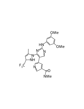 CNC(=O)c1cncc(-c2cnc(Nc3cc(OC)cc(OC)c3)nc2N2NC(C(F)(F)F)C=C2C)c1